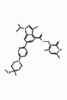 CNC1(C)CCN(c2ccc(-c3cc(C(=O)NCc4c(C)cc(C)[nH]c4=O)c4c(C)cn(C(C)C)c4c3)cn2)CC1